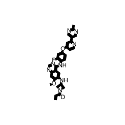 C=CC(=O)N1CC(Nc2cc3c(Nc4ccc(Oc5ccnc(-c6cnc(C)nc6)c5)cc4F)ncnc3cc2OC)C1